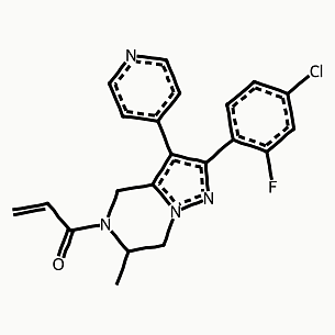 C=CC(=O)N1Cc2c(-c3ccncc3)c(-c3ccc(Cl)cc3F)nn2CC1C